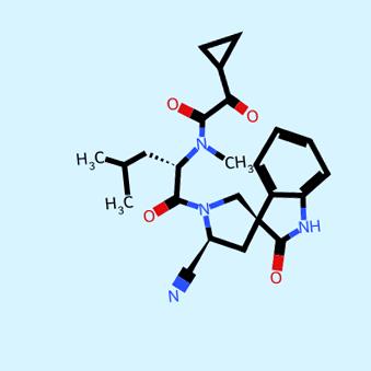 CC(C)C[C@@H](C(=O)N1C[C@]2(C[C@H]1C#N)C(=O)Nc1ccccc12)N(C)C(=O)C(=O)C1CC1